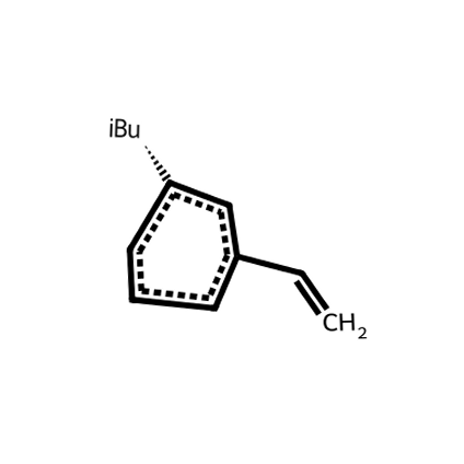 C=Cc1cccc([C@@H](C)CC)c1